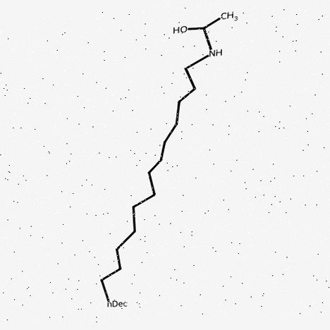 CCCCCCCCCCCCCCCCCCCCCCCNC(C)O